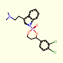 CN(C)CCc1cn(P2(=O)OCCC(c3ccc(Cl)c(Cl)c3)O2)c2ccccc12